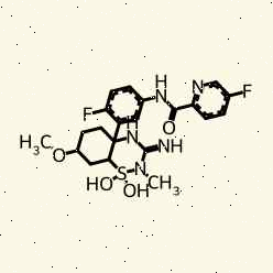 COC1CCC2(c3cc(NC(=O)c4ccc(F)cn4)ccc3F)NC(=N)N(C)S(O)(O)C2C1